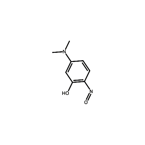 CN(C)c1ccc(N=O)c(O)c1